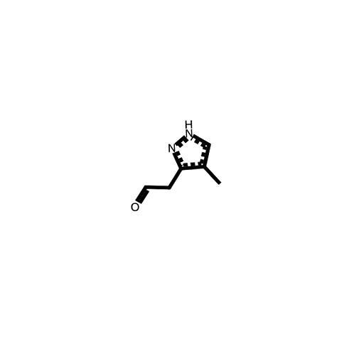 Cc1c[nH]nc1CC=O